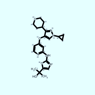 CC(C)(O)c1cnc(Nc2cc(Oc3cn(C4CC4)nc3C3CCOCC3)ccn2)o1